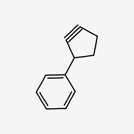 C1#CC(c2ccccc2)CC1